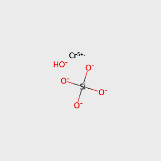 [Cr+5].[O-][Si]([O-])([O-])[O-].[OH-]